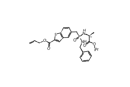 C=CCOC(=O)c1cc2cc(CP(=O)(NCc3ccccc3)N[C@@H](C)C(=O)OC(C)C)ccc2s1